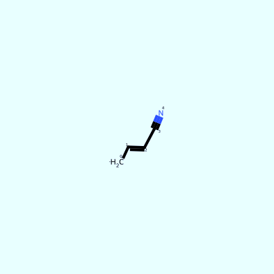 [CH2]/C=C/C#N